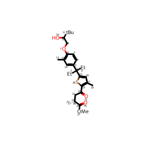 CCC(CC)(c1ccc(OCC(O)C(C)(C)C)c(C)c1)c1cc(C)c(C(=O)C[C@@H](C)C(=O)OC)s1